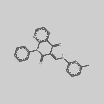 Cc1cccc(N/C=C2\C(=O)c3cccnc3N(c3ccccc3)C2=O)n1